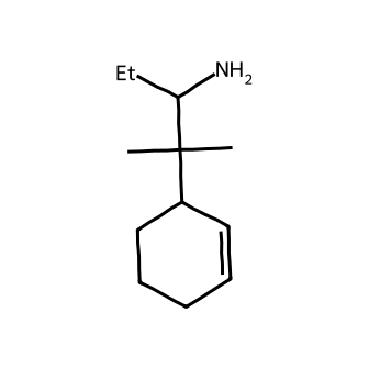 CCC(N)C(C)(C)C1C=CCCC1